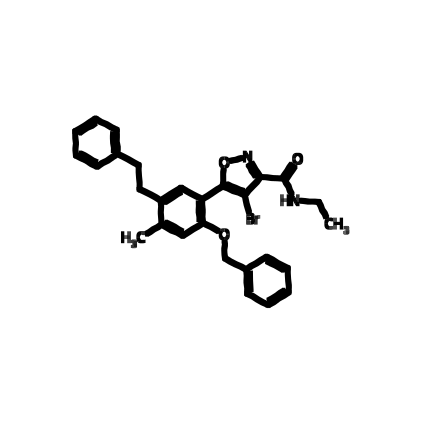 CCNC(=O)c1noc(-c2cc(CCc3ccccc3)c(C)cc2OCc2ccccc2)c1Br